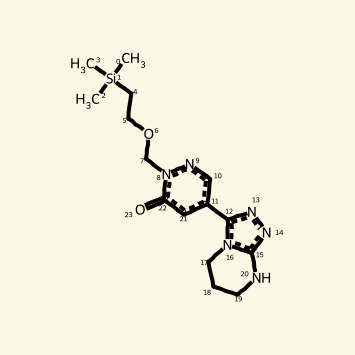 C[Si](C)(C)CCOCn1ncc(-c2nnc3n2CCCN3)cc1=O